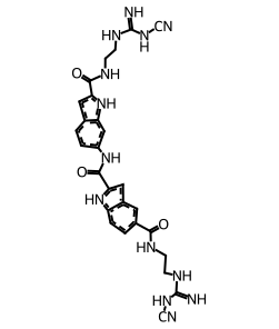 N#CNC(=N)NCCNC(=O)c1ccc2[nH]c(C(=O)Nc3ccc4cc(C(=O)NCCNC(=N)NC#N)[nH]c4c3)cc2c1